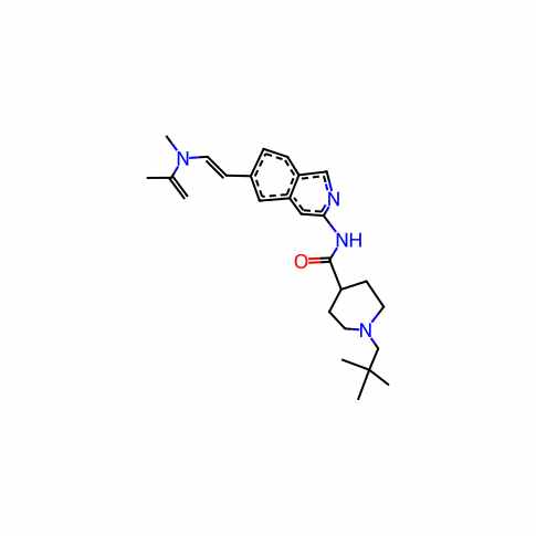 C=C(C)N(C)/C=C/c1ccc2cnc(NC(=O)C3CCN(CC(C)(C)C)CC3)cc2c1